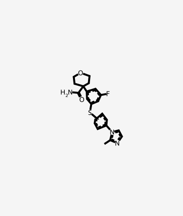 Cc1nccn1-c1ccc(Sc2cc(F)cc(C3(C(N)=O)CCOCC3)c2)cc1